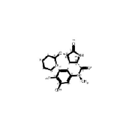 CN(C(=O)[C@@H]1C[C@H](OC2CCCCO2)C(=O)N1)c1ccc(F)c(Cl)c1